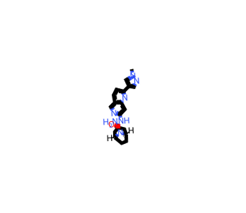 Cn1cc(-c2ccc3cnc(NC(=O)N4[C@@H]5CC[C@H]4C[C@H](N)C5)cc3n2)cn1